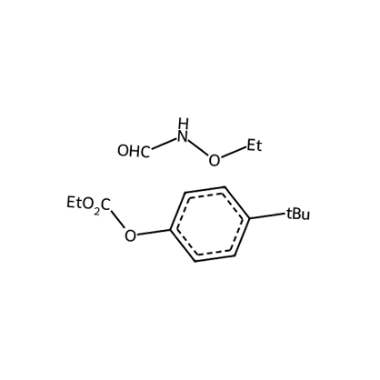 CCOC(=O)Oc1ccc(C(C)(C)C)cc1.CCONC=O